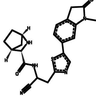 CN1C(=O)Cc2ccc(-c3cnc(CC(C#N)NC(=O)[C@H]4N[C@@H]5CC[C@H]4C5)s3)cc21